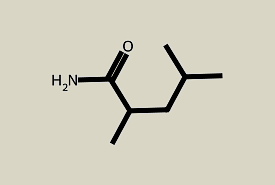 CC(C)CC(C)C(N)=O